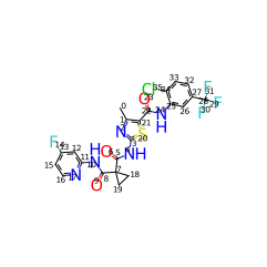 Cc1nc(NC(=O)C2(C(=O)Nc3cc(F)ccn3)CC2)sc1C(=O)Nc1cc(C(F)(F)F)ccc1Cl